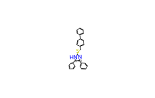 c1ccc(-c2ccc(CSC3=N[C@@H](c4ccccc4)[C@@H](c4ccccc4)N3)cc2)cc1